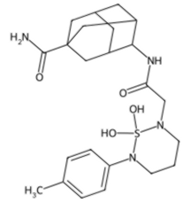 Cc1ccc(N2CCCN(CC(=O)NC3C4CC5CC3CC(C(N)=O)(C5)C4)S2(O)O)cc1